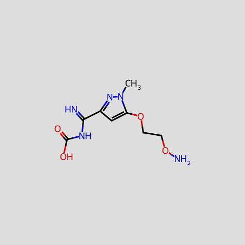 Cn1nc(C(=N)NC(=O)O)cc1OCCON